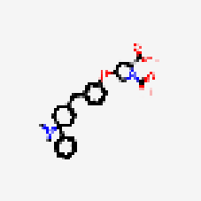 CN(C)C1(c2ccccc2)CC=C(Cc2cccc(O[C@H]3C[C@@H](C(=O)O)N(C(=O)O)C3)c2)CC1